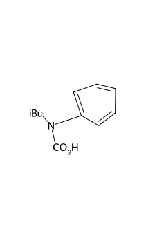 CCC(C)N(C(=O)O)c1ccccc1